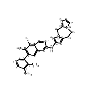 Cc1c(N)cncc1-c1cc2cc(Nc3cc4n(n3)Cc3nccn3CC4)ncc2c(F)c1F